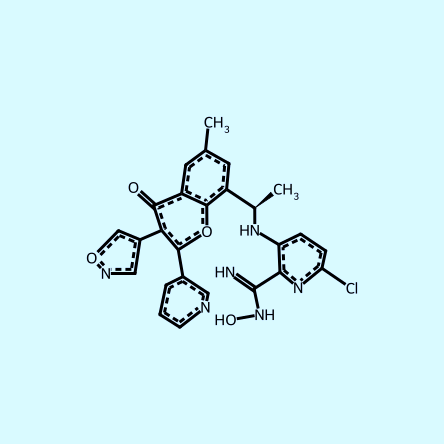 Cc1cc([C@@H](C)Nc2ccc(Cl)nc2C(=N)NO)c2oc(-c3cccnc3)c(-c3cnoc3)c(=O)c2c1